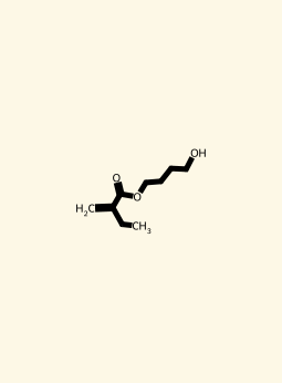 C=C(CC)C(=O)OCCCCO